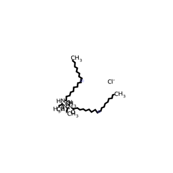 CCCCCCCC/C=C\CCCCCCCC(=O)NC(CC)[N+](C)(C)C(CC)NC(=O)CCCCCCC/C=C\CCCCCCCC.[Cl-]